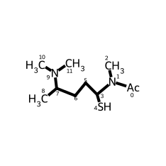 CC(=O)N(C)C(S)CCC(C)N(C)C